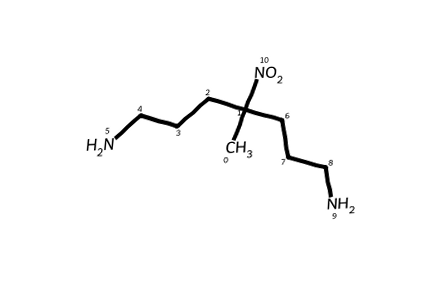 CC(CCCN)(CCCN)[N+](=O)[O-]